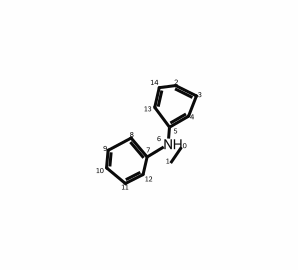 CC.c1ccc(Nc2ccccc2)cc1